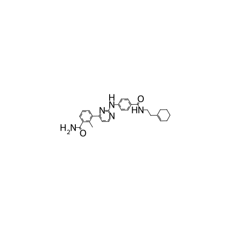 Cc1c(C(N)=O)cccc1-c1ccnc(Nc2ccc(C(=O)NCCC3=CCCCC3)cc2)n1